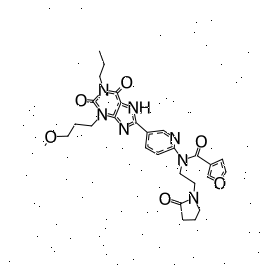 CCCn1c(=O)c2[nH]c(-c3ccc(N(CCN4CCCC4=O)C(=O)c4ccoc4)nc3)nc2n(CCCOC)c1=O